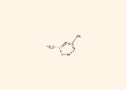 CC(C)c1c[c]cc(C(=O)O)c1